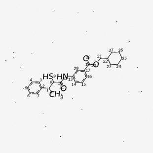 CC(c1ccccc1)C(S)C(=O)Nc1cccc(C(=O)OCC2CCCCC2)c1